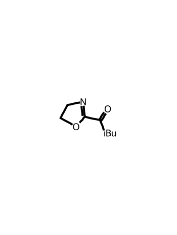 CCC(C)C(=O)C1=NCCO1